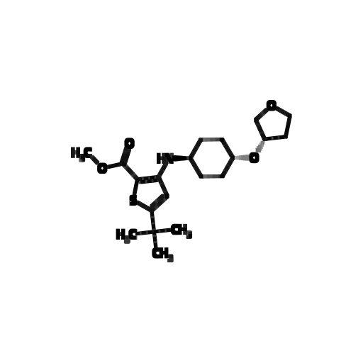 COC(=O)c1sc(C(C)(C)C)cc1N[C@H]1CC[C@H](O[C@H]2CCOC2)CC1